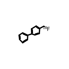 [18F]Cc1ccc(-c2ccccc2)cc1